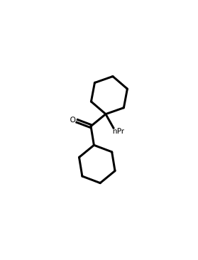 CCCC1(C(=O)C2CCCCC2)CCCCC1